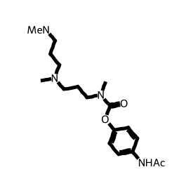 CNCCCN(C)CCCN(C)C(=O)Oc1ccc(NC(C)=O)cc1